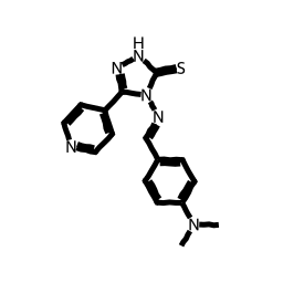 CN(C)c1ccc(C=Nn2c(-c3ccncc3)n[nH]c2=S)cc1